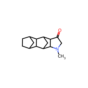 CN1CC(=O)C2C3CC(C4C5CCC(C5)C34)C21